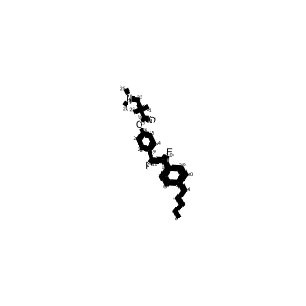 CCCCCc1ccc(/C(F)=C(\F)c2ccc(OC(=O)C(C)(C)CN(C)C)cc2)cc1